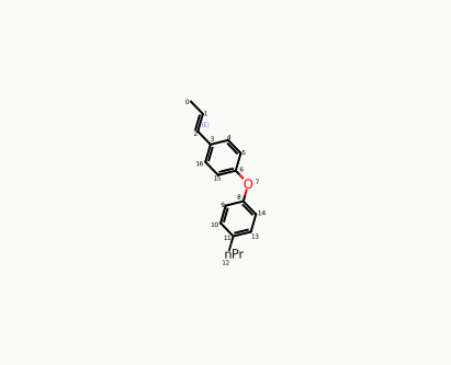 C/C=C/c1ccc(Oc2ccc(CCC)cc2)cc1